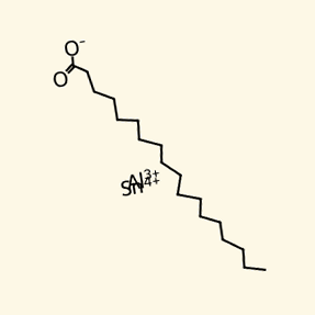 CCCCCCCCCCCCCCCCCC(=O)[O-].[Al+3].[Sn+4]